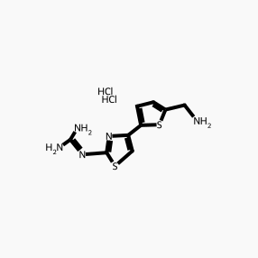 Cl.Cl.NCc1ccc(-c2csc(N=C(N)N)n2)s1